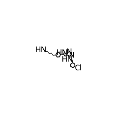 N=CCCCCc1ccc(-c2cc3c(NCc4cccc(Cl)c4)ncnc3[nH]2)cc1